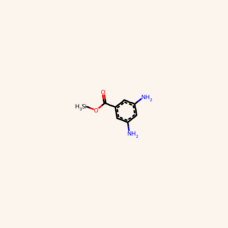 Nc1cc(N)cc(C(=O)O[SiH3])c1